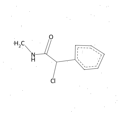 [CH2]NC(=O)C(Cl)c1ccccc1